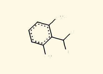 COc1cccc(OC)c1C(Cl)C(F)(F)F